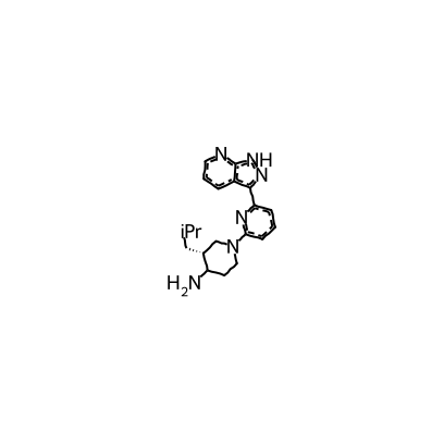 CC(C)C[C@@H]1CN(c2cccc(-c3n[nH]c4ncccc34)n2)CCC1N